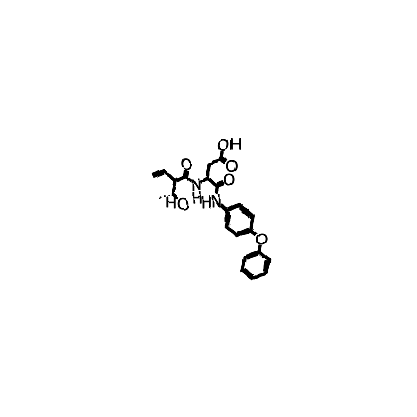 C=CC(C(=O)NC(CC(=O)O)C(=O)Nc1ccc(Oc2ccccc2)cc1)[C@@H](C)O